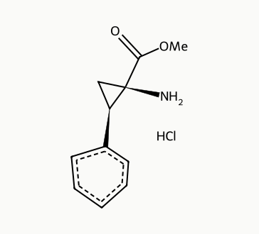 COC(=O)[C@@]1(N)C[C@@H]1c1ccccc1.Cl